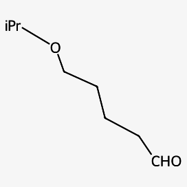 CC(C)OCCCCC=O